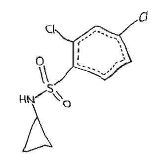 O=S(=O)(N[C]1CC1)c1ccc(Cl)cc1Cl